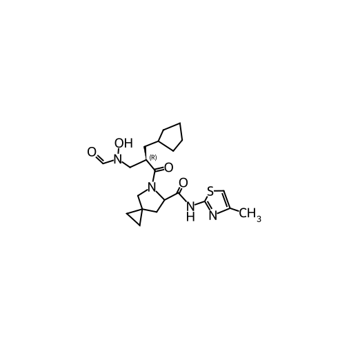 Cc1csc(NC(=O)C2CC3(CC3)CN2C(=O)[C@H](CC2CCCC2)CN(O)C=O)n1